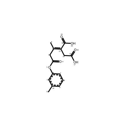 CC(CC(=O)Oc1cccc(C)c1)=C(CC(=O)O)C(=O)O